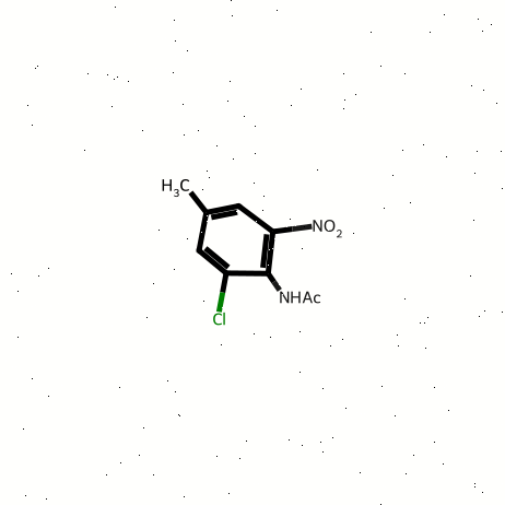 CC(=O)Nc1c(Cl)cc(C)cc1[N+](=O)[O-]